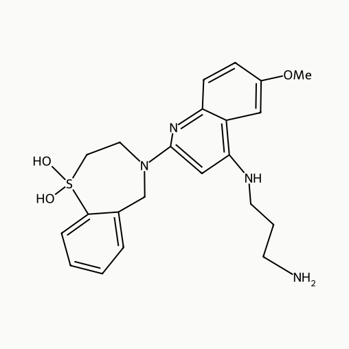 COc1ccc2nc(N3CCS(O)(O)c4ccccc4C3)cc(NCCCN)c2c1